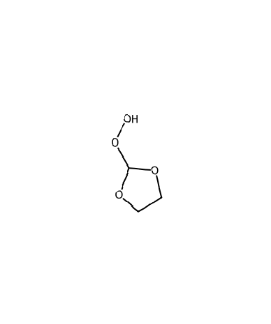 OOC1OCCO1